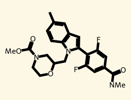 CNC(=O)c1cc(F)c(-c2cc3cc(C)ccc3n2CC2CN(C(=O)OC)CCO2)c(F)c1